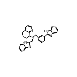 c1cc(CN(Cc2nc3ccccc3[nH]2)C2CCCc3cccnc32)cc(-c2nc3ccccc3[nH]2)c1